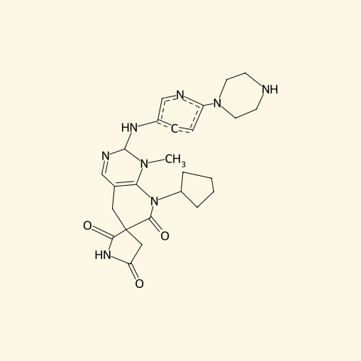 CN1C2=C(C=NC1Nc1ccc(N3CCNCC3)nc1)CC1(CC(=O)NC1=O)C(=O)N2C1CCCC1